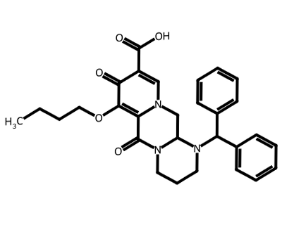 CCCCOc1c2n(cc(C(=O)O)c1=O)CC1N(CCCN1C(c1ccccc1)c1ccccc1)C2=O